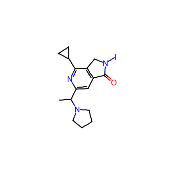 CC(c1cc2c(c(C3CC3)n1)CN(I)C2=O)N1CCCC1